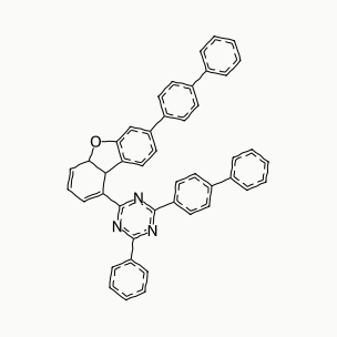 C1=CC2Oc3cc(-c4ccc(-c5ccccc5)cc4)ccc3C2C(c2nc(-c3ccccc3)nc(-c3ccc(-c4ccccc4)cc3)n2)=C1